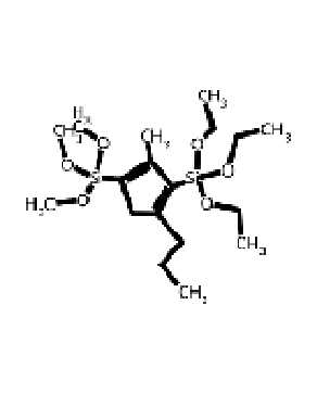 CCCC1=C([Si](OCC)(OCC)OCC)C(C)=C([Si](OC)(OC)OC)C1